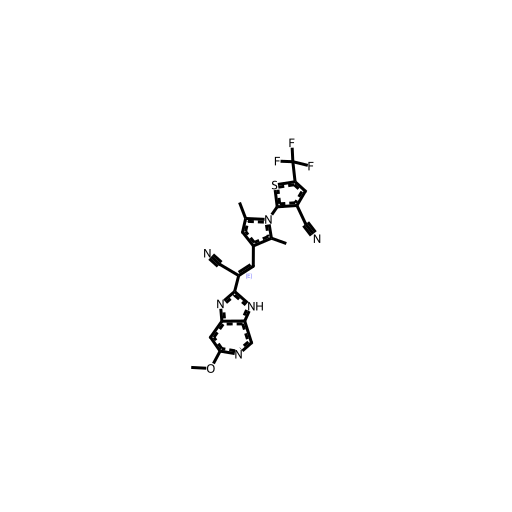 COc1cc2nc(/C(C#N)=C/c3cc(C)n(-c4sc(C(F)(F)F)cc4C#N)c3C)[nH]c2cn1